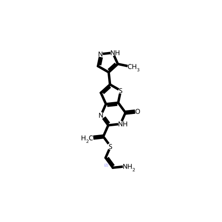 C=C(S/C=C\N)c1nc2cc(-c3cn[nH]c3C)sc2c(=O)[nH]1